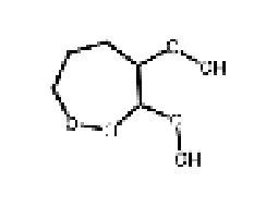 OOC1CCCOOC1OO